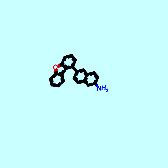 Nc1ccc2cc(-c3cccc4oc5ccccc5c34)ccc2c1